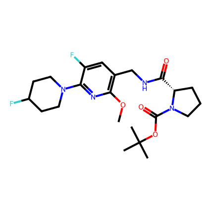 COc1nc(N2CCC(F)CC2)c(F)cc1CNC(=O)[C@@H]1CCCN1C(=O)OC(C)(C)C